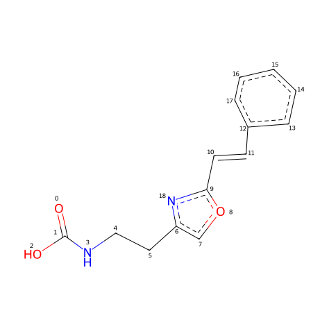 O=C(O)NCCc1coc(/C=C/c2ccccc2)n1